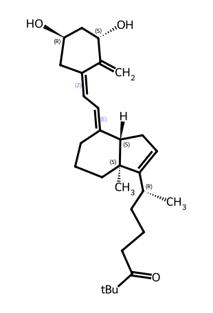 C=C1/C(=C\C=C2/CCC[C@]3(C)C([C@H](C)CCCC(=O)C(C)(C)C)=CC[C@@H]23)C[C@@H](O)C[C@@H]1O